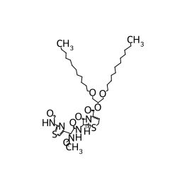 CCCCCCCCCCCCOCC(COCCCCCCCCCCCC)OC(=O)C1=CCS[C@H]2C(NC(=O)C(=NOC)c3csc(NC=O)n3)C(=O)N12